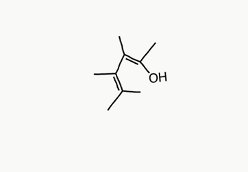 CC(C)=C(C)/C(C)=C(/C)O